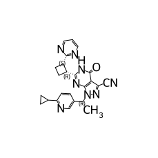 C[C@H](c1ccc(C2CC2)nc1)n1nc(C#N)c2c(=O)[nH]c([C@@H]3CC[C@@H]3c3ncccn3)nc21